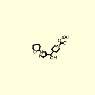 CC(C)(C)OC(=O)N1CCC(C(O)c2cnn(C3CCCCO3)c2)CC1